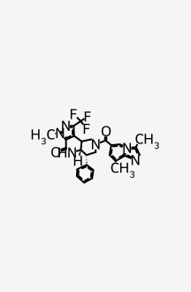 Cc1cc(C(=O)N2CC3c4c(C(F)(F)F)nn(C)c4C(=O)N[C@H]3[C@@H](c3ccccc3)C2)cn2c(C)cnc12